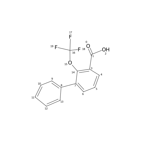 O=C(O)c1cccc(-c2ccccc2)c1OC(F)(F)F